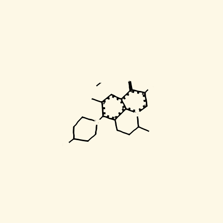 CC1CCc2c(N3CCC(O)CC3)c(F)cc3c(=O)c(C(=O)O)cn1c23.CCO